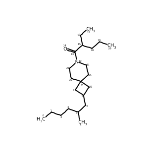 CCCCC(C)CC1CC2(CCN(C(=O)C(CC)CCC)CC2)C1